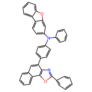 c1ccc(-c2nc3c(-c4ccc(N(c5ccccc5)c5ccc6c(c5)oc5ccccc56)cc4)cc4ccccc4c3o2)cc1